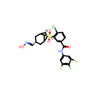 C[C@H]1CC2C[C@H](/C=N/O)CC1[C@@H]2S(=O)(=O)c1cc(C(=O)Nc2cc(F)c(F)c(F)c2)ccc1Cl